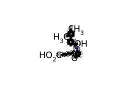 Cc1ccc(-c2cccc(C(O)/C=C/[C@H]3CCC(=O)N3CCCCCCC(=O)O)c2)c(C)c1